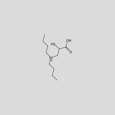 CCC[CH2][SnH]([CH2]CCC)[CH2]C(S)C(=O)O